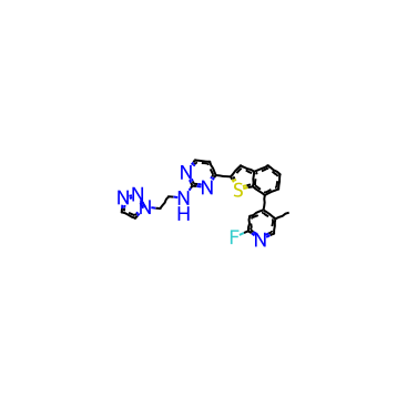 Cc1cnc(F)cc1-c1cccc2cc(-c3ccnc(NCCn4ccnn4)n3)sc12